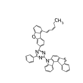 CC/C=C\C=C\c1cccc2oc3cc(-c4nc(-c5ccccc5)nc(-n5c6ccccc6c6c7c(ccc65)sc5ccccc57)n4)ccc3c12